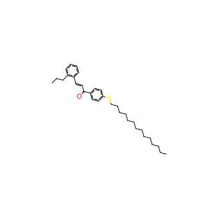 CCCCCCCCCCCCCCSc1ccc(C(=O)C=Cc2ccccc2CCC)cc1